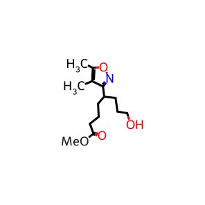 COC(=O)CCCC(CCCO)c1noc(C)c1C